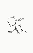 CCCC1(C(=O)O)CCCCC1=O